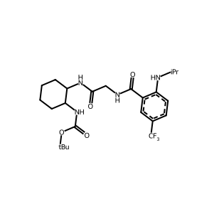 CC(C)Nc1ccc(C(F)(F)F)cc1C(=O)NCC(=O)NC1CCCCC1NC(=O)OC(C)(C)C